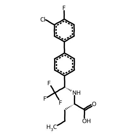 CCC[C@H](N[C@@H](c1ccc(-c2ccc(F)c(Cl)c2)cc1)C(F)(F)F)C(=O)O